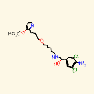 Nc1c(Cl)cc(C(O)CNCCCCCCOCCCc2ncccc2OCC(=O)O)cc1Cl